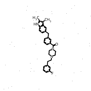 Cc1[nH]c2ccc(Cc3cccc(C(=O)N4CCN(CCc5cccc(F)c5)CC4)c3)cc2c1C